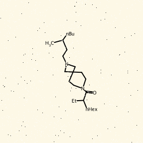 CCCCCCC(CC)C(=O)N1CCC2(CC1)CN(CCC(C)CCCC)C2